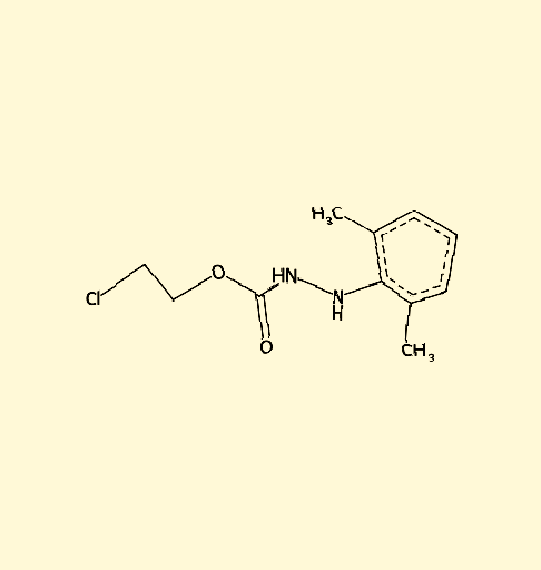 Cc1cccc(C)c1NNC(=O)OCCCl